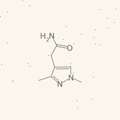 Cc1nn(C)cc1[CH]C(N)=O